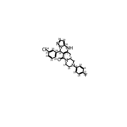 CC1=C(C(=O)N2CCN(c3ccc(F)cc3)CC2)C(c2cccc(Cl)c2)n2nccc2N1